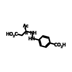 CC(=O)[C@H](CC(=O)O)NNc1ccc(C(=O)O)cc1